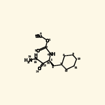 CC(C)(C)OC(=O)N[C@@H](CC1CCCCC1)C(=O)NN